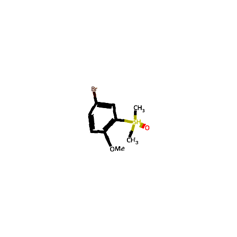 COc1ccc(Br)cc1[SH](C)(C)=O